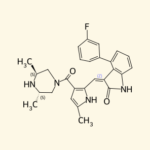 Cc1cc(C(=O)N2C[C@H](C)N[C@@H](C)C2)c(/C=C2\C(=O)Nc3cccc(-c4cccc(F)c4)c32)[nH]1